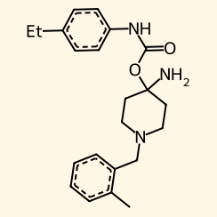 CCc1ccc(NC(=O)OC2(N)CCN(Cc3ccccc3C)CC2)cc1